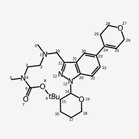 CN(CCN(C)C(=O)OC(C)(C)C)Cc1nn(C2CCCCO2)c2ccc(C3=CCOCC3)cc12